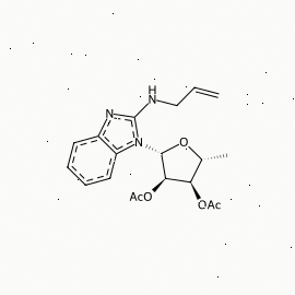 C=CCNc1nc2ccccc2n1[C@@H]1O[C@H](C)[C@@H](OC(C)=O)[C@H]1OC(C)=O